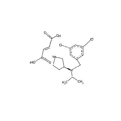 CC(C)N(Cc1cc(Cl)cc(Cl)c1)[C@H]1CCNC1.O=C(O)/C=C/C(=O)O